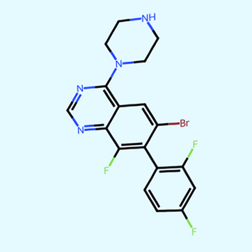 Fc1ccc(-c2c(Br)cc3c(N4CCNCC4)ncnc3c2F)c(F)c1